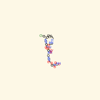 CC1(C)CCC(CN2CCN(c3ccc(C(=O)NS(=O)(=O)c4ccc(NCC5CCC(N6CCN(C(=O)CCOc7cccc8c7CN(C7CCC(=O)NC7=O)C8=O)CC6)CC5)c([N+](=O)[O-])c4)c(Oc4cnc5[nH]ccc5c4)c3)CC2)=C(c2ccc(Cl)cc2)C1